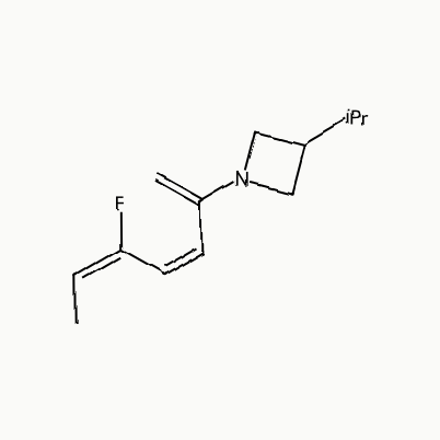 C=C(/C=C\C(F)=C/C)N1CC(C(C)C)C1